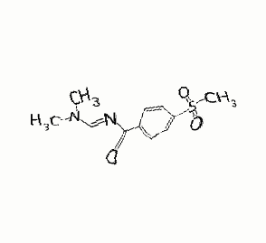 CN(C)C=NC(=O)c1ccc(S(C)(=O)=O)cc1